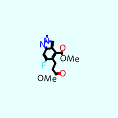 COC(=O)CCc1c(F)cc2nn(C)cc2c1C(=O)OC